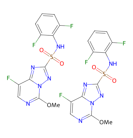 COc1ncc(F)c2nc(S(=O)(=O)Nc3c(F)cccc3F)nn12.COc1ncc(F)c2nc(S(=O)(=O)Nc3c(F)cccc3F)nn12